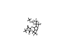 C=C(C)C(=O)OC1C(C(C)(OC(=O)OC(C)(C)C)C(F)(F)F)CCC1C(OC(=O)OC(C)(C)C)(C(F)(F)F)C(F)(F)F